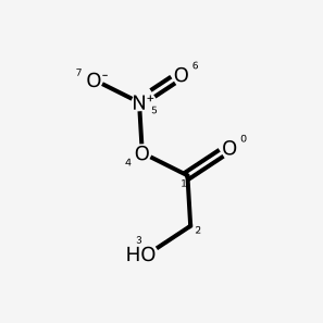 O=C(CO)O[N+](=O)[O-]